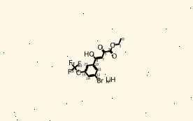 CCOC(=O)C(=O)C=C(O)c1cc(Br)cc(OC(F)(F)F)c1.[LiH]